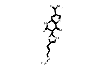 COC/C=C/C1=CN/C(=C2\C(=N)c3ncc(C(N)=O)cc3NC2=O)S1